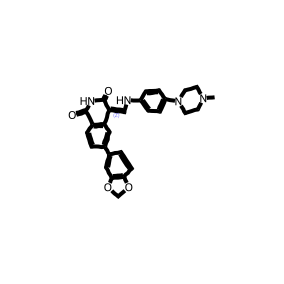 CN1CCN(c2ccc(N/C=C3\C(=O)NC(=O)c4ccc(-c5ccc6c(c5)OCO6)cc43)cc2)CC1